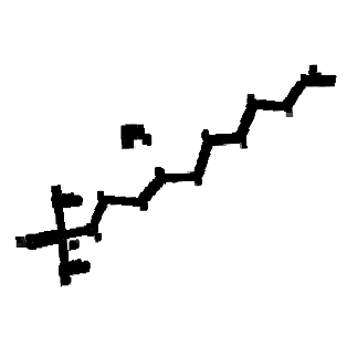 CCCCCCCCCCCCCCCCCOP(=O)(OC)OC.N